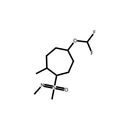 CN=S(C)(=O)C1CCC(OC(F)F)CCC1C